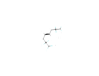 O=C(O)C(CC(F)(F)C(F)F)=C(CC(F)(F)C(F)F)C(=O)O